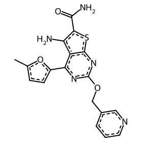 Cc1ccc(-c2nc(OCc3cccnc3)nc3sc(C(N)=O)c(N)c23)o1